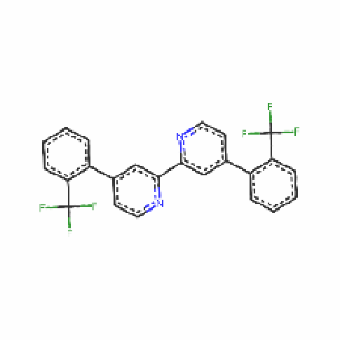 FC(F)(F)c1ccccc1-c1ccnc(-c2cc(-c3ccccc3C(F)(F)F)ccn2)c1